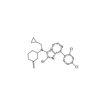 CCc1nc2c(-c3ccc(Cl)cc3Cl)nccn2c1N(CC1CC1)C1CCCC(=S)C1